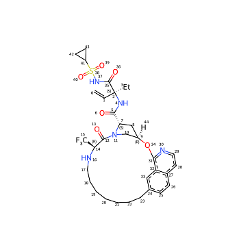 C=C[C@](CC)(NC(=O)[C@@H]1C[C@@H]2CN1C(=O)[C@H](C(F)(F)F)NCCCCCCCc1ccc3ccnc(c3c1)O2)C(=O)NS(=O)(=O)C1CC1